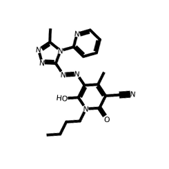 CCCCn1c(O)c(N=Nc2nnc(C)n2-c2ccccn2)c(C)c(C#N)c1=O